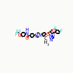 Cc1cc(N2CCN(c3ccc(C(=O)Nc4ccc(OC(F)(F)F)cc4)cc3)CC2)ccc1OC[C@@H]1CO[C@@](Cn2cncn2)(c2ccc(F)cc2F)C1